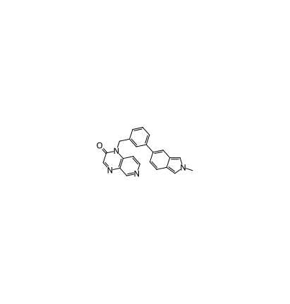 Cn1cc2ccc(-c3cccc(Cn4c(=O)cnc5cnccc54)c3)cc2c1